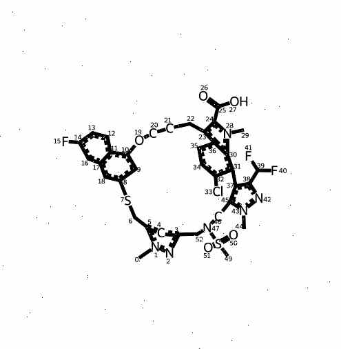 Cn1nc2cc1CSc1cc(c3ccc(F)cc3c1)OCCCc1c(C(=O)O)n(C)c3c(c(Cl)ccc13)-c1c(C(F)F)nn(C)c1CN(S(C)(=O)=O)C2